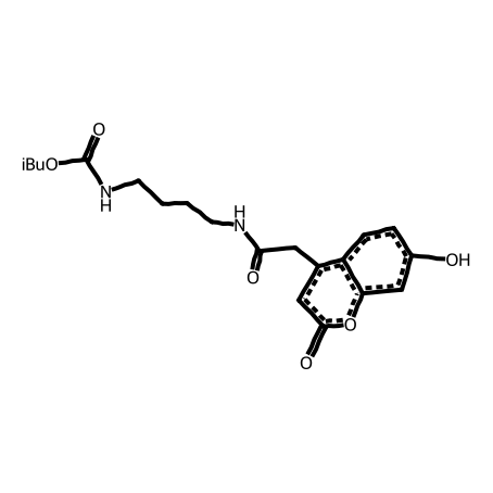 CC(C)COC(=O)NCCCCNC(=O)Cc1cc(=O)oc2cc(O)ccc12